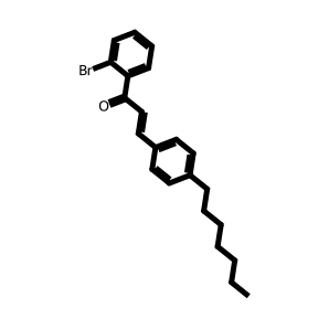 CCCCCCCc1ccc(C=CC(=O)c2ccccc2Br)cc1